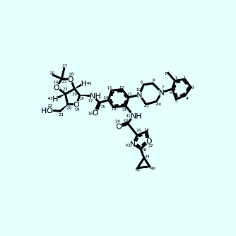 Cc1ccccc1N1CCN(c2ccc(C(=O)N[C@H]3O[C@@H](CO)[C@@H]4OC(C)(C)O[C@@H]43)cc2NC(=O)c2coc(C3CC3)n2)CC1